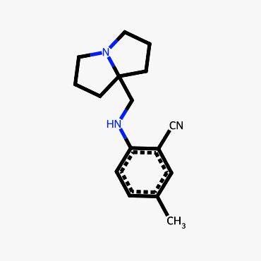 Cc1ccc(NCC23CCCN2CCC3)c(C#N)c1